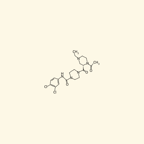 CCN1CCN(C(C)=O)[C@@H](C(=O)N2CCN(C(=O)Nc3ccc(Cl)c(Cl)c3)CC2)C1